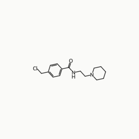 O=C(NCCN1CCCCC1)c1ccc(CCl)cc1